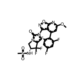 COc1cc(-c2c(F)cc(F)cc2F)c2c(-n3cc4n(c3=O)C[C@@H](NS(C)(=O)=O)C4(F)F)noc2n1